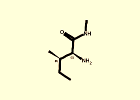 CC[C@@H](C)[C@H](N)C(=O)NC